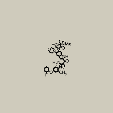 CNC(C)(C)C(=O)N(CO)c1cc2[nH]c(C(=O)c3cnn(-c4ccc(Oc5ccccc5F)cc4C)c3N)cc2cc1N1CCOCC1